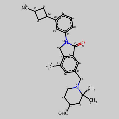 CC1(C)CC(C=O)CCN1Cc1cc2c(c(C(F)(F)F)c1)CN(c1cccc(C3CC(C#N)C3)c1)C2=O